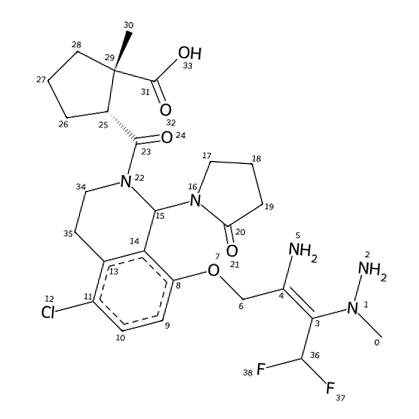 CN(N)/C(=C(\N)COc1ccc(Cl)c2c1C(N1CCCC1=O)N(C(=O)[C@@H]1CCC[C@]1(C)C(=O)O)CC2)C(F)F